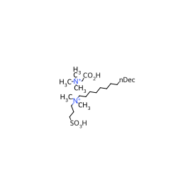 CCCCCCCCCCCCCCCCCC[N+](C)(C)CCCS(=O)(=O)O.C[N+](C)(C)CC(=O)O